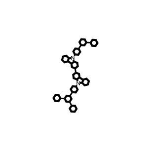 c1ccc(-c2cccc(-c3ccc(-n4c5ccccc5c5cc(-c6ccc7c(c6)c6ccccc6n7-c6ccc(-c7cc(-c8ccccc8)cc(-c8ccccc8)c7)cc6)ccc54)cc3)c2)cc1